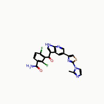 Cc1nccn1-c1nc(-c2cnc3[nH]cc(C(=O)c4c(F)ccc(C(N)=O)c4F)c3c2)cs1